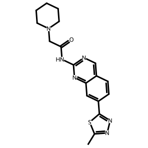 Cc1nnc(-c2ccc3cnc(NC(=O)CN4CCCCC4)nc3c2)s1